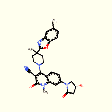 Cc1ccc2oc(C3(C)CCN(c4c(C#N)c(=O)n(C)c5cc(N6C[C@H](O)CC6=O)ccc45)CC3)nc2c1